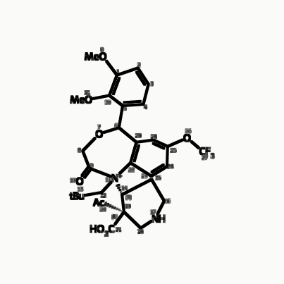 COc1cccc(C2OCC(=O)[N+](CC(C)(C)C)([C@@H]3CCNC[C@@]3(C(C)=O)C(=O)O)c3ccc(OC(F)(F)F)cc32)c1OC